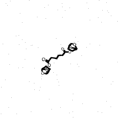 O=C(CCCCC(=O)ON1C2CCC1O2)ON1C2CCC1O2